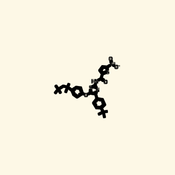 CC(C)(C)CC(C)(C)c1ccc(Oc2sc(NC(=O)c3ccc([N+](=O)[O-])s3)nc2-c2ccc(C(C)(C)C)cc2)cc1